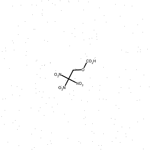 O=C(O)OCC([N+](=O)[O-])([N+](=O)[O-])[N+](=O)[O-]